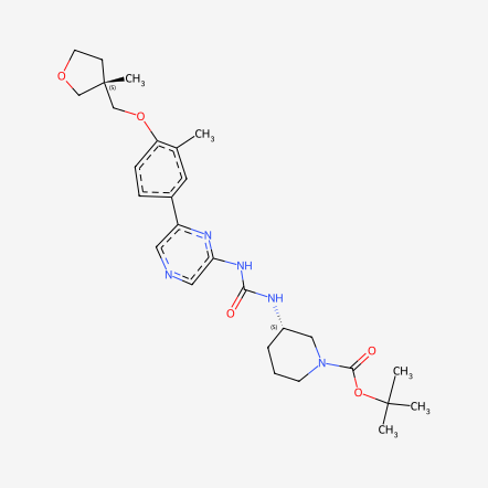 Cc1cc(-c2cncc(NC(=O)N[C@H]3CCCN(C(=O)OC(C)(C)C)C3)n2)ccc1OC[C@@]1(C)CCOC1